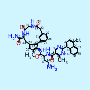 CCc1ccc(-c2ncc(C(=O)N[C@@H](CCN)C(=O)Nc3c(C)cc4cc3-c3cccc(c3)CC(=O)NCC(=O)NC(C(N)=O)C4)c(C)n2)c2ccccc12